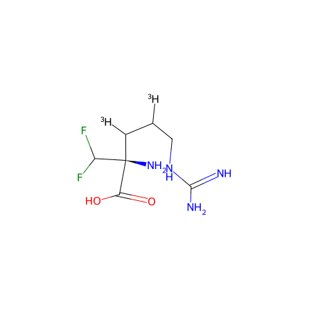 [3H]C(CNC(=N)N)C([3H])[C@](N)(C(=O)O)C(F)F